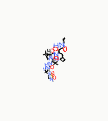 C=CCNC(=O)C(=O)C(CC1CCC1)NC(=O)[C@@H]1[C@@H]2C(CN1C(=O)[C@@H](NC(=O)N[C@H](CN1CCN(C)S1(=O)=O)C(C)(C)C)C(C)(C)C)C2(C)C